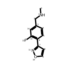 CNCc1ccc(-c2ccon2)c(F)c1